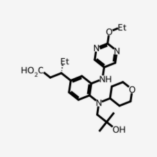 CCOc1ncc(Nc2cc([C@@H](CC)CC(=O)O)ccc2N(CC(C)(C)O)C2CCOCC2)cn1